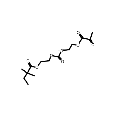 CCC(C)(C)C(=O)OCCOC(=O)NCCOC(=O)C(C)=O